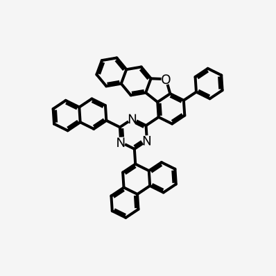 c1ccc(-c2ccc(-c3nc(-c4ccc5ccccc5c4)nc(-c4cc5ccccc5c5ccccc45)n3)c3c2oc2cc4ccccc4cc23)cc1